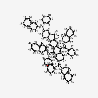 CC1(C)c2cc(N(c3ccccc3)c3ccc4ccccc4c3)ccc2-c2cc3c(N(c4ccccc4)c4cnc5ccccc5c4)c4cc(N(c5ccccc5)c5cnc6ccccc6c5)ccc4c(N(c4ccccc4)c4cnc5ccccc5c4)c3cc21